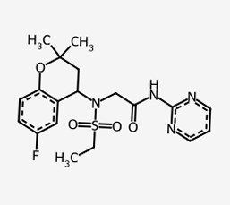 CCS(=O)(=O)N(CC(=O)Nc1ncccn1)C1CC(C)(C)Oc2ccc(F)cc21